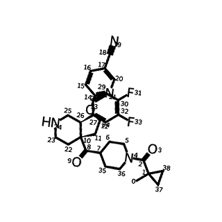 CC1(C(=O)N2CCC(C(=O)[C@]3(CCOc4ccc(C#N)cn4)CCNC[C@H]3c3ccc(F)c(F)c3)CC2)CC1